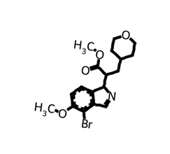 COC(=O)C(CC1CCOCC1)C1N=Cc2c1ccc(OC)c2Br